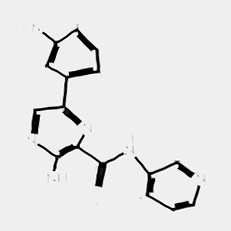 Nc1ncc(-c2cccc([N+](=O)[O-])c2)nc1C(=O)Nc1cccnc1